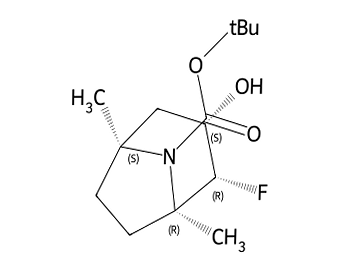 CC(C)(C)OC(=O)N1[C@@]2(C)CC[C@]1(C)[C@@H](F)[C@@H](O)C2